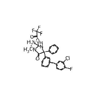 CN1C(=O)C(c2ccccc2)(c2cccc(-c3ccc(F)c(Cl)c3)c2)NC1(N)OC(=O)C(F)(F)F